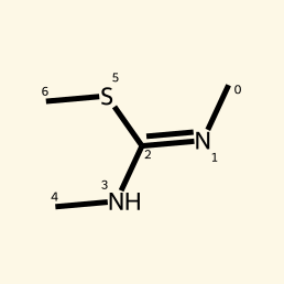 CN=C(NC)SC